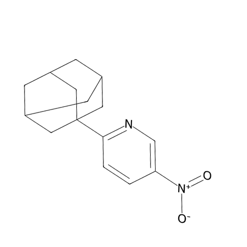 O=[N+]([O-])c1ccc(C23CC4CC(CC(C4)C2)C3)nc1